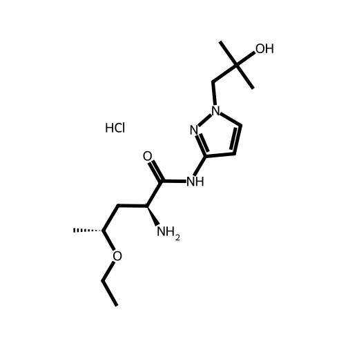 CCO[C@H](C)C[C@H](N)C(=O)Nc1ccn(CC(C)(C)O)n1.Cl